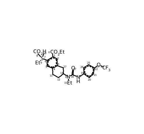 CCOC(=O)c1cc2c(cc1S(C)(CC)C(=O)O)CCC(N(CC)C(=O)Nc1ccc(OC(F)(F)F)cc1)C2